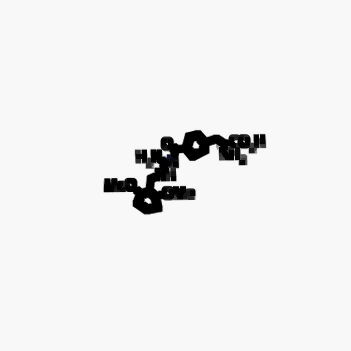 COc1cccc(OC)c1CN/C(N)=N/C(=O)c1ccc(C[C@H](N)C(=O)O)cc1